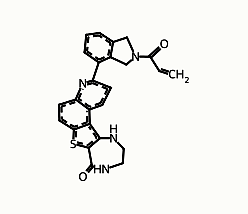 C=CC(=O)N1Cc2cccc(-c3ccc4c(ccc5sc6c(c54)NCCNC6=O)n3)c2C1